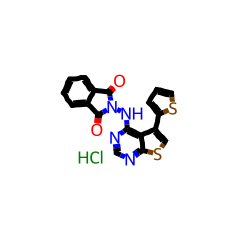 Cl.O=C1c2ccccc2C(=O)N1Nc1ncnc2scc(-c3cccs3)c12